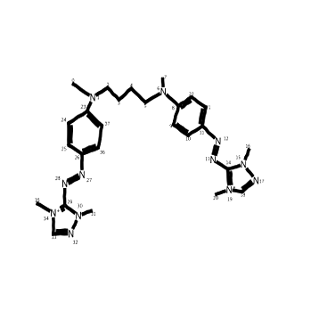 CN(CCCCN(C)c1ccc(N=Nc2n(C)nc[n+]2C)cc1)c1ccc(N=Nc2n(C)nc[n+]2C)cc1